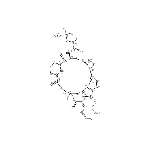 C=C/C(=C(\N=C/C)[C@H](C)OC)c1c2c3cc(ccc3n1CC)C1CSC(=N1)C[C@H](NC(=O)N(C)CC(C)(C)OC)C(=O)N1CCC[C@H](N1)C(=O)OCC(C)(C)C2